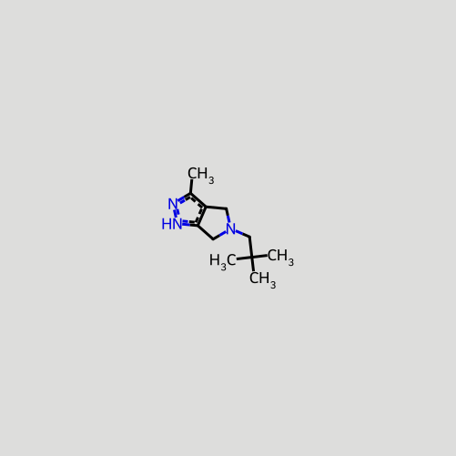 Cc1n[nH]c2c1CN(CC(C)(C)C)C2